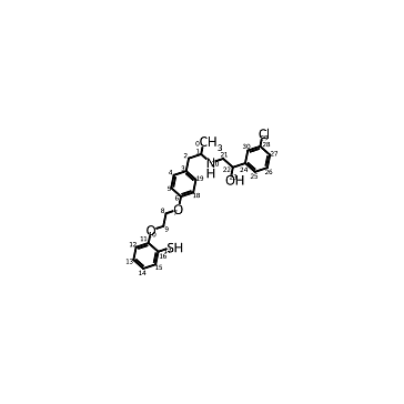 CC(Cc1ccc(OCCOc2ccccc2S)cc1)NCC(O)c1cccc(Cl)c1